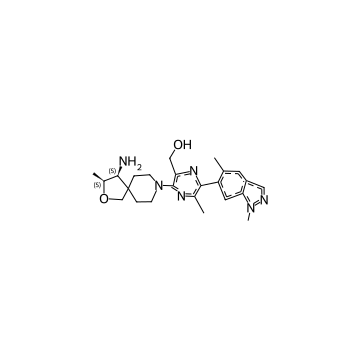 Cc1cc2cnn(C)c2cc1-c1nc(CO)c(N2CCC3(CC2)CO[C@@H](C)[C@H]3N)nc1C